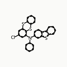 Clc1cc2c(c(N(c3ccccc3)c3ccc4c(c3)sc3ccccc34)c1)Sc1ccccc1S2